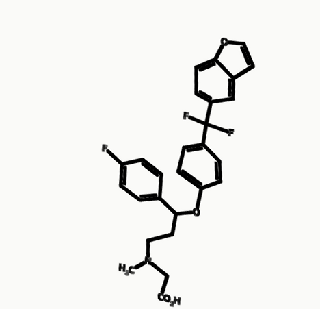 CN(CCC(Oc1ccc(C(F)(F)c2ccc3occc3c2)cc1)c1ccc(F)cc1)CC(=O)O